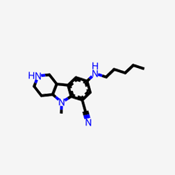 CCCCCNc1cc(C#N)c2c(c1)C1CNCCC1N2C